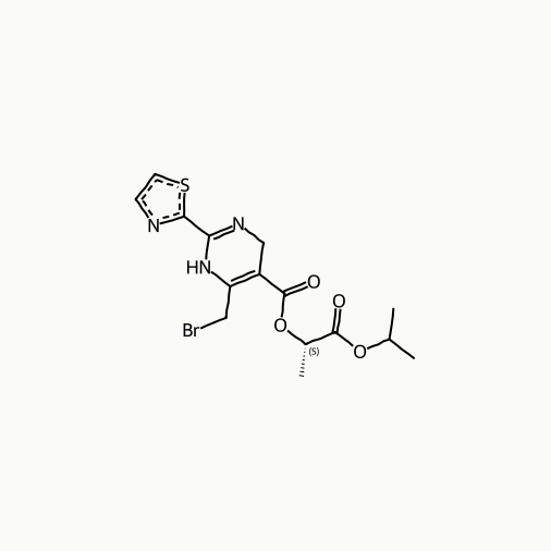 CC(C)OC(=O)[C@H](C)OC(=O)C1=C(CBr)NC(c2nccs2)=NC1